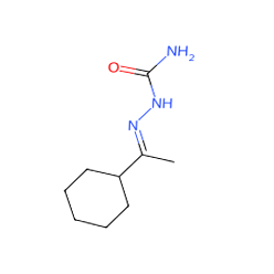 CC(=NNC(N)=O)C1CCCCC1